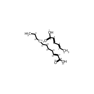 CC=CC=CC(=O)O.CCCCCCCCC=CC(=O)O